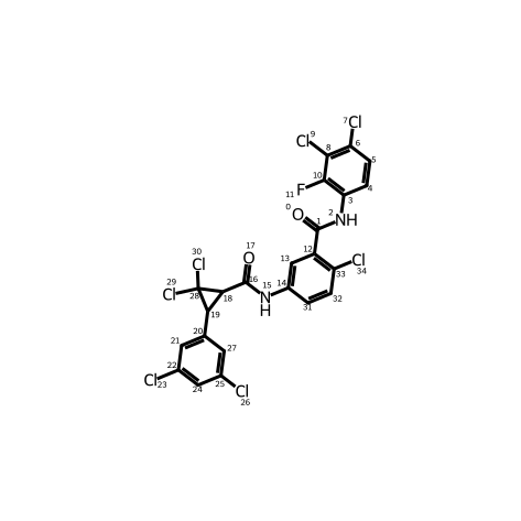 O=C(Nc1ccc(Cl)c(Cl)c1F)c1cc(NC(=O)C2C(c3cc(Cl)cc(Cl)c3)C2(Cl)Cl)ccc1Cl